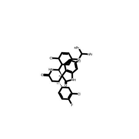 CCCC(CCC)OC1=CC(C2NC(=O)C[C@@H](C3C=CC(F)=C(Cl)C3)[C@]23C(=O)Nc2cc(Cl)ccc23)C(Cl)C=C1